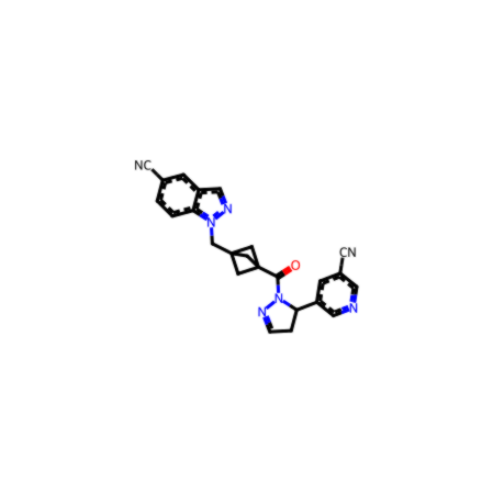 N#Cc1cncc(C2CC=NN2C(=O)C23CC(Cn4ncc5cc(C#N)ccc54)(C2)C3)c1